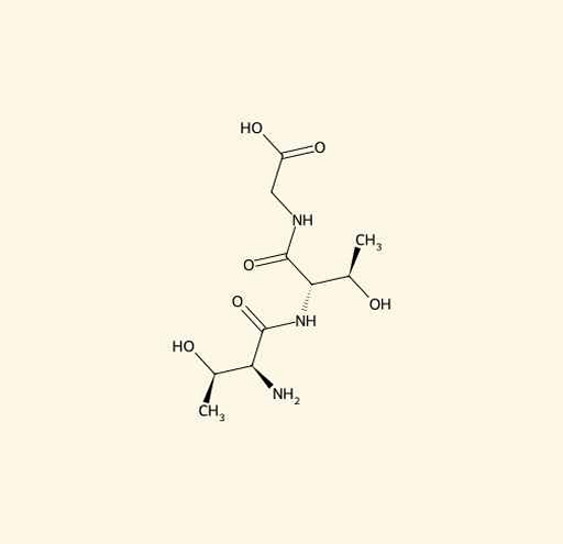 C[C@@H](O)[C@H](N)C(=O)N[C@H](C(=O)NCC(=O)O)[C@@H](C)O